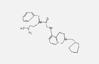 CN(C)CCN(Cc1ccccc1)C(=O)CNc1cccc2c1CCN(CC1CCCCC1)C2